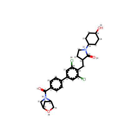 O=C(c1ccc(-c2cc(Cl)c(CC3CCN(C4CCC(O)CC4)C3=O)c(Cl)c2)cc1)N1CC2CC1CO2